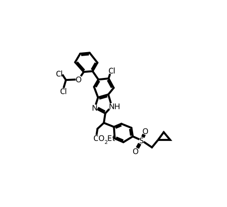 CCOC(=O)CC(c1ccc(S(=O)(=O)CC2CC2)cc1)c1nc2cc(-c3ccccc3OC(Cl)Cl)c(Cl)cc2[nH]1